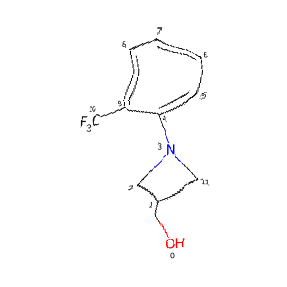 OC1CN(c2ccccc2C(F)(F)F)C1